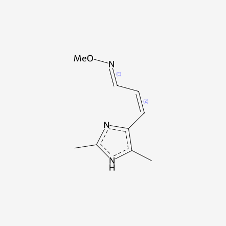 CO/N=C/C=C\c1nc(C)[nH]c1C